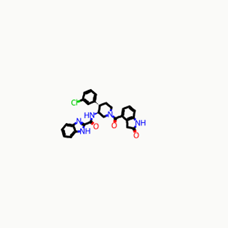 O=C1Cc2c(cccc2C(=O)N2CC[C@@H](c3cccc(Cl)c3)[C@H](NC(=O)c3nc4ccccc4[nH]3)C2)N1